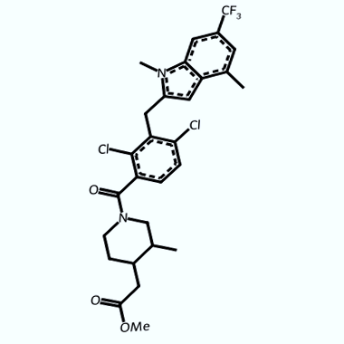 COC(=O)CC1CCN(C(=O)c2ccc(Cl)c(Cc3cc4c(C)cc(C(F)(F)F)cc4n3C)c2Cl)CC1C